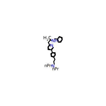 C=C(Cc1ccc(-c2ccc(CCCN(CCC)CCC)cc2)cn1)NCc1ccccc1